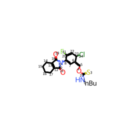 CCCCNC(=S)OC=C1C=C(N2C(=O)C3=C(CCCC3)C2=O)C(F)=CC1Cl